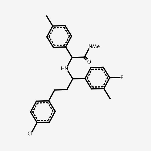 CNC(=O)C(NC(CCc1ccc(Cl)cc1)c1ccc(F)c(C)c1)c1ccc(C)cc1